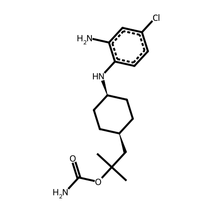 CC(C)(C[C@H]1CC[C@@H](Nc2ccc(Cl)cc2N)CC1)OC(N)=O